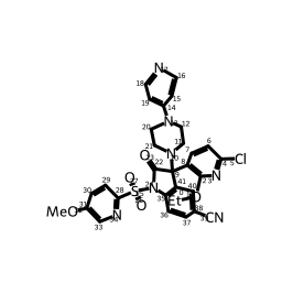 CCOc1nc(Cl)ccc1C1(N2CCN(c3ccncc3)CC2)C(=O)N(S(=O)(=O)c2ccc(OC)cn2)c2ccc(C#N)cc21